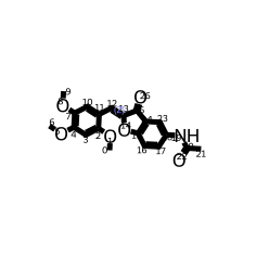 COc1cc(OC)c(OC)cc1/C=C1\Oc2ccc(NC(C)=O)cc2C1=O